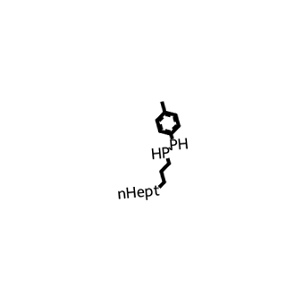 CCCCCCCCCCPPc1ccc(C)cc1